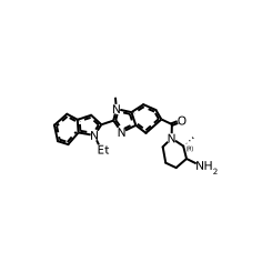 CCn1c(-c2nc3cc(C(=O)N4CCCC(N)[C@H]4C)ccc3n2C)cc2ccccc21